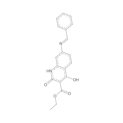 CCOC(=O)c1c(O)c2ccc(N=Cc3ccccc3)cc2[nH]c1=O